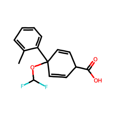 Cc1ccccc1C1(OC(F)F)C=CC(C(=O)O)C=C1